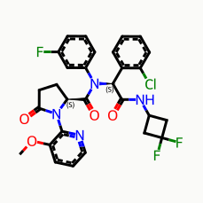 COc1cccnc1N1C(=O)CC[C@H]1C(=O)N(c1cccc(F)c1)[C@H](C(=O)NC1CC(F)(F)C1)c1ccccc1Cl